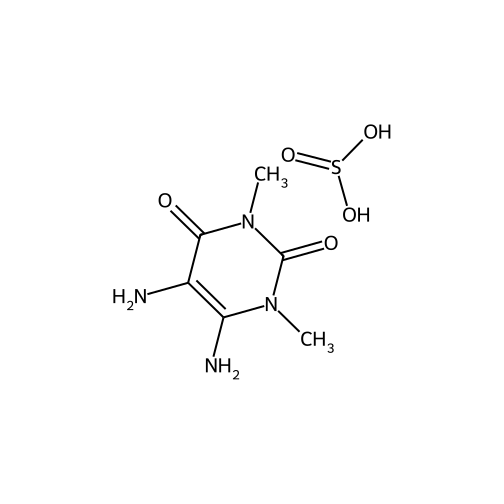 Cn1c(N)c(N)c(=O)n(C)c1=O.O=S(O)O